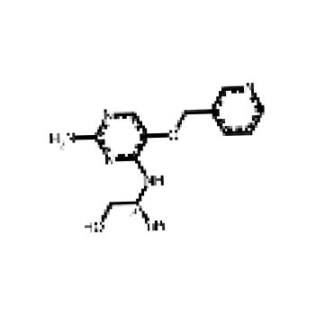 CCC[C@@H](CO)Nc1nc(N)ncc1OCc1cccnc1